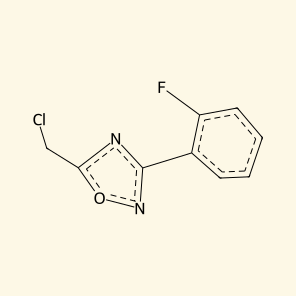 Fc1ccccc1-c1noc(CCl)n1